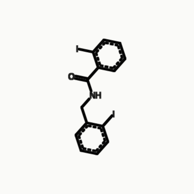 O=C(NCc1ccccc1I)c1ccccc1I